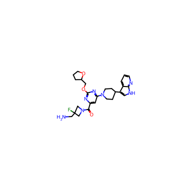 NCC1(F)CN(C(=O)c2cc(N3CCC(c4c[nH]c5ncccc45)CC3)nc(OCC3CCCO3)n2)C1